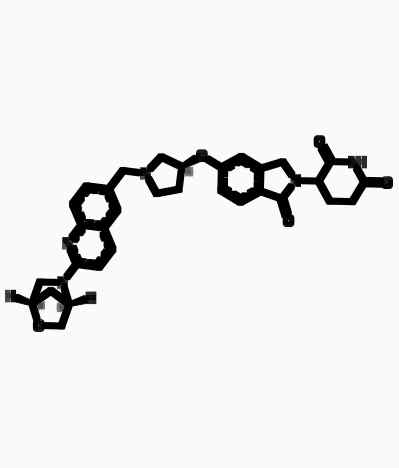 O=C1CCC(N2Cc3cc(O[C@H]4CCN(Cc5ccc6nc(N7C[C@@H]8C[C@H]7CO8)ccc6c5)C4)ccc3C2=O)C(=O)N1